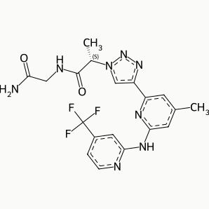 Cc1cc(Nc2cc(C(F)(F)F)ccn2)nc(-c2cn([C@@H](C)C(=O)NCC(N)=O)nn2)c1